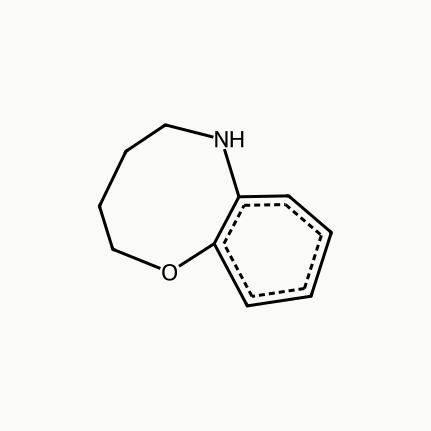 c1ccc2c(c1)NCCCCO2